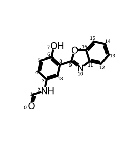 O=CNc1ccc(O)c(-c2nc3ccccc3o2)c1